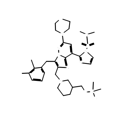 Cc1c(Cc2c(CN3CCCC(CO[Si](C)(C)C(C)(C)C)C3)nc3c(-c4nccn4S(=O)(=O)N(C)C)cc(N4CCOCC4)nn23)cccc1C(F)(F)F